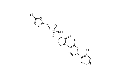 O=C1[C@@H](NS(=O)(=O)/C=C/c2ccc(Cl)s2)CCN1c1ccc(-c2ccncc2Cl)cc1F